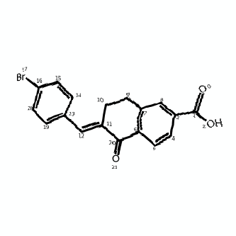 O=C(O)c1ccc2c(c1)CCC(=Cc1ccc(Br)cc1)C2=O